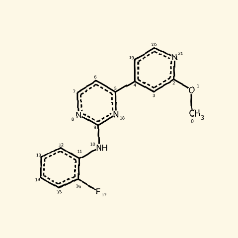 COc1cc(-c2ccnc(Nc3ccccc3F)n2)ccn1